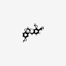 COc1ccc2c(c1)N(Cc1ccc(C#N)c(OC)c1)CCO2